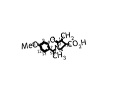 C=C1C(=O)N([C@@H](C)c2ccc(OC)cc2)CC1C(=O)O